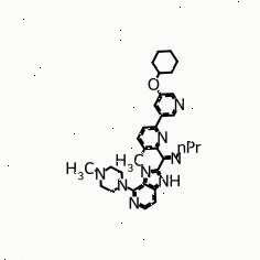 CCC/N=C(/c1nc2c(N3CCN(C)CC3)nccc2[nH]1)c1nc(-c2cncc(OC3CCCCC3)c2)ccc1C